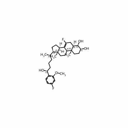 COc1cc(F)ccc1[C@@H](O)CCC[C@@H](C)[C@H]1CC[C@H]2C3=C(F)C[C@H]4[C@@H](O)[C@@H](O)CC[C@]4(C)[C@H]3CC[C@]12C